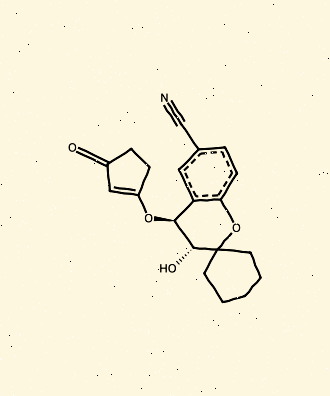 N#Cc1ccc2c(c1)[C@H](OC1=CC(=O)CC1)[C@@H](O)C1(CCCCC1)O2